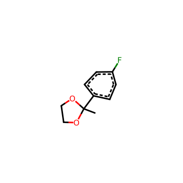 CC1(c2ccc(F)cc2)OCCO1